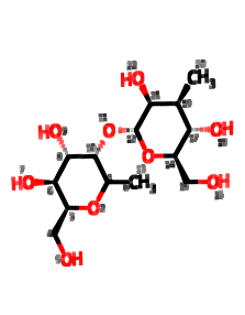 CC1O[C@@H](CO)[C@@H](O)[C@H](O)[C@@H]1O[C@H]1O[C@H](CO)[C@@H](O)[C@H](C)[C@@H]1O